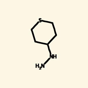 NNC1CCSCC1